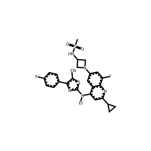 CCN(c1nc(-c2ccc(F)cc2)c(C#N)s1)c1cc(C2CC2)nc2c(F)cc(N3CC(NS(C)(=O)=O)C3)cc12